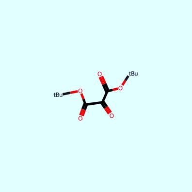 CC(C)(C)OC(=O)C(=O)C(=O)OC(C)(C)C